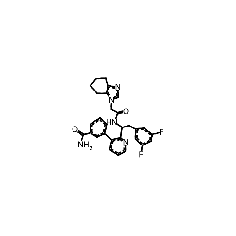 NC(=O)c1cccc(-c2cccnc2C(Cc2cc(F)cc(F)c2)NC(=O)Cn2cnc3c2CCCC3)c1